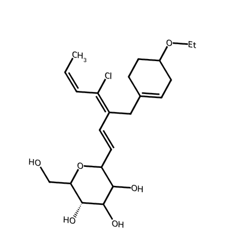 C/C=C\C(Cl)=C(/C=CC1OC(CO)[C@@H](O)C(O)C1O)CC1=CCC(OCC)CC1